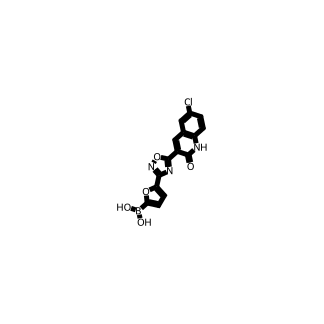 O=c1[nH]c2ccc(Cl)cc2cc1-c1nc(-c2ccc(B(O)O)o2)no1